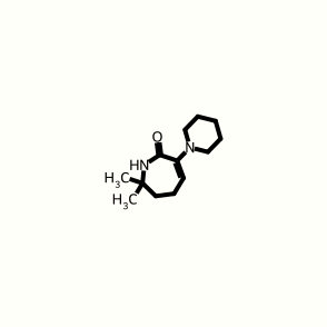 CC1(C)CCC=C(N2CCCCC2)C(=O)N1